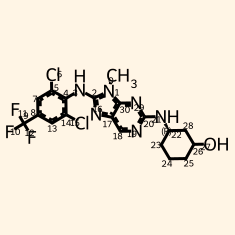 Cn1c(Nc2c(Cl)cc(C(F)(F)F)cc2Cl)nc2cnc(N[C@@H]3CCCC(O)C3)nc21